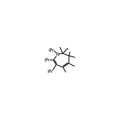 CC1=C(C)C(C)(C)C(C)(C)N(C(C)C)C(C(C)C)=C1C(C)C